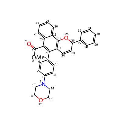 COC(=O)c1c(-c2ccc(N3CCOCC3)cc2)c2c(c3ccccc13)OC(c1ccccc1)C=C2